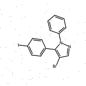 Brc1cnn(-c2ccccc2)c1-c1ccc(I)cc1